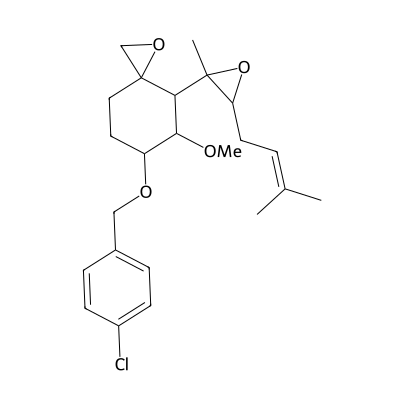 COC1C(OCc2ccc(Cl)cc2)CCC2(CO2)C1C1(C)OC1CC=C(C)C